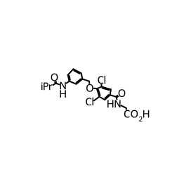 CC(C)C(=O)Nc1cccc(COc2c(Cl)cc(C(=O)NCC(=O)O)cc2Cl)c1